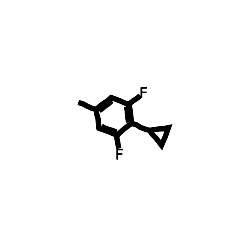 Cc1cc(F)c([C]2CC2)c(F)c1